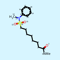 CNC(=O)CCCCCCCS(=O)(=O)N(C)c1ccccc1